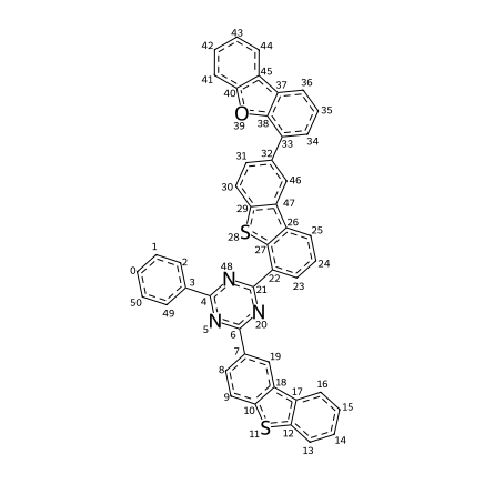 c1ccc(-c2nc(-c3ccc4sc5ccccc5c4c3)nc(-c3cccc4c3sc3ccc(-c5cccc6c5oc5ccccc56)cc34)n2)cc1